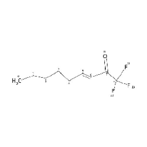 CCCCCC=CC(=O)C(F)(F)F